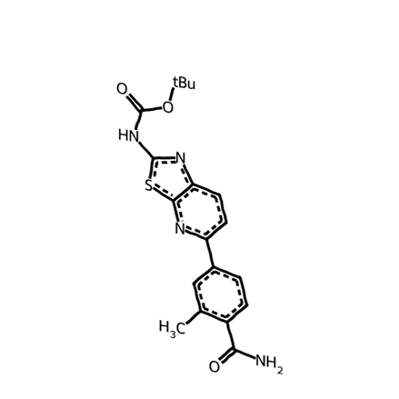 Cc1cc(-c2ccc3nc(NC(=O)OC(C)(C)C)sc3n2)ccc1C(N)=O